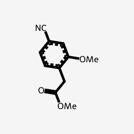 COC(=O)Cc1ccc(C#N)cc1OC